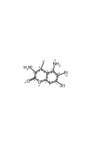 CCc1cc2oc(=O)c(N)c(C)c2c(N)c1CC